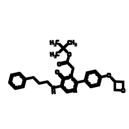 CC(C)(C)OC(=O)Cn1c(-c2ccc(OC3COC3)cc2)ncc(NCCCc2ccccc2)c1=O